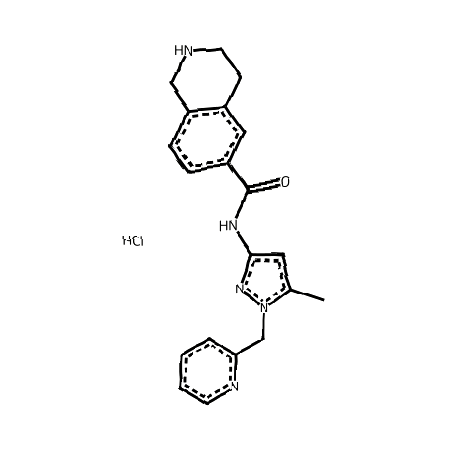 Cc1cc(NC(=O)c2ccc3c(c2)CCNC3)nn1Cc1ccccn1.Cl